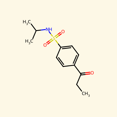 CCC(=O)c1ccc(S(=O)(=O)NC(C)C)cc1